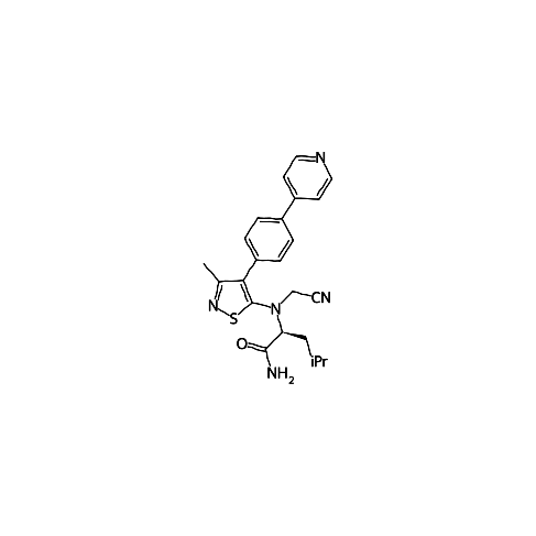 Cc1nsc(N(CC#N)[C@@H](CC(C)C)C(N)=O)c1-c1ccc(-c2ccncc2)cc1